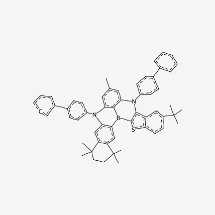 Cc1cc2c3c(c1)N(c1ccc(-c4ccccc4)cc1)c1c(sc4ccc(C(C)(C)C)cc14)B3c1cc3c(cc1N2c1ccc(-c2ccccc2)cc1)C(C)(C)CCC3(C)C